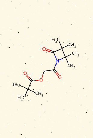 CC(C)(C)C(C)(C)C(=O)OCC(=O)N1C(=O)C(C)(C)C1(C)C